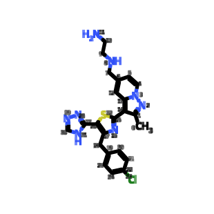 Cc1nn2ccc(CNCCN)cc2c1-c1nc(Cc2ccc(Cl)cc2)c(-c2nnc[nH]2)s1